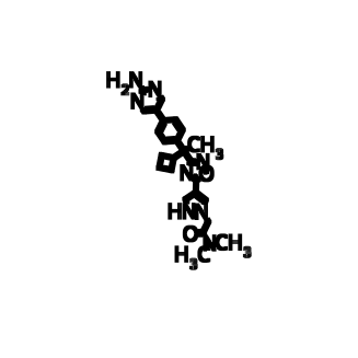 CN(C)C(=O)CN1C=C(c2nc(C(C)(c3ccc(-c4cnc(N)nc4)cc3)C3CCC3)no2)CN1